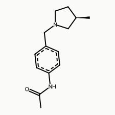 CC(=O)Nc1ccc(CN2CC[C@@H](C)C2)cc1